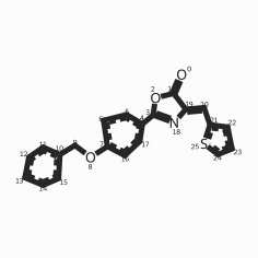 O=C1OC(c2ccc(OCc3ccccc3)cc2)=NC1=Cc1cccs1